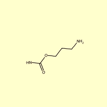 [NH]C(=O)OCCCN